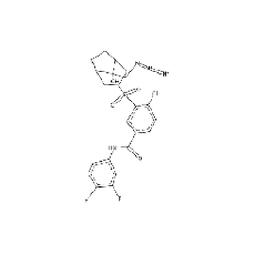 [N-]=[N+]=NCC1(O)C2CCC1CC(S(=O)(=O)c1cc(C(=O)Nc3ccc(F)c(F)c3)ccc1Cl)C2